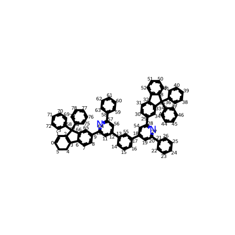 C1=CC2=C(CC1)c1ccc(-c3cc(-c4cccc(-c5cc(-c6ccccc6)nc(-c6ccc7c(c6)C(c6ccccc6)(c6ccccc6)c6ccccc6-7)c5)c4)cc(-c4ccccc4)n3)cc1C2(c1ccccc1)c1ccccc1